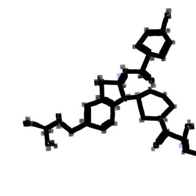 CC(C)/C=C(\C#N)C(=O)N1CCCC(n2/c(=N\C(=O)c3ccc(Cl)cc3)[nH]c3cc(CN[C@@H](C)C(C)(C)C)ccc32)C1